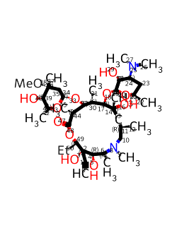 C#C[C@]1(O)[C@H](O)[C@@H](C)N(C)C[C@H](C)C[C@@](C)(O)[C@H](O[C@@H]2O[C@H](C)C[C@H](N(C)C)[C@H]2O)[C@@H](C)[C@H](O[C@H]2C[C@@](C)(OC)[C@@H](O)[C@H](C)O2)[C@@H](C)C(=O)O[C@@H]1CC